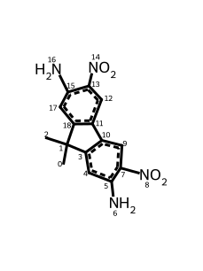 CC1(C)c2cc(N)c([N+](=O)[O-])cc2-c2cc([N+](=O)[O-])c(N)cc21